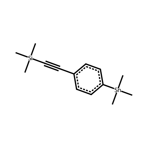 C[Si](C)(C)C#Cc1cc[c]([Sn]([CH3])([CH3])[CH3])cc1